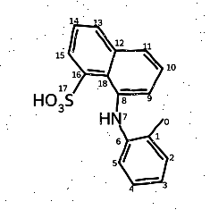 Cc1ccccc1Nc1cccc2cccc(S(=O)(=O)O)c12